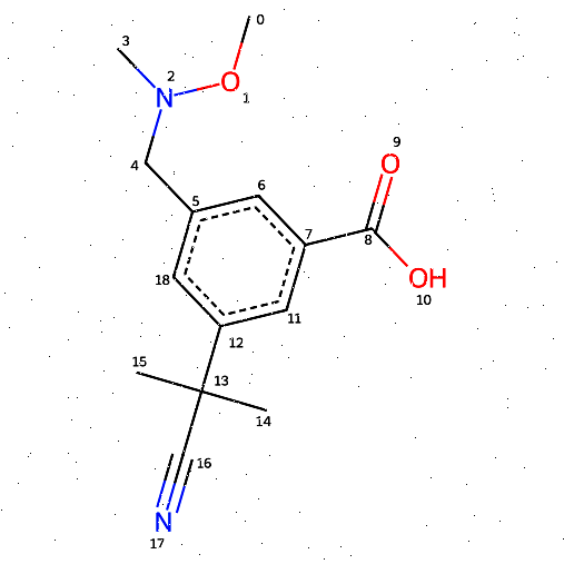 CON(C)Cc1cc(C(=O)O)cc(C(C)(C)C#N)c1